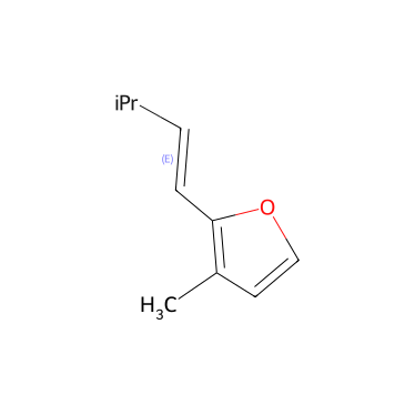 Cc1ccoc1/C=C/C(C)C